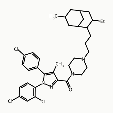 CCC1CC2CC(C)CC(C2)C1CCCN1CCN(C(=O)c2nn(-c3ccc(Cl)cc3Cl)c(-c3ccc(Cl)cc3)c2C)CC1